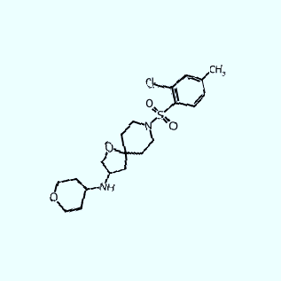 Cc1ccc(S(=O)(=O)N2CCC3(CC2)CC(NC2CCOCC2)CO3)c(Cl)c1